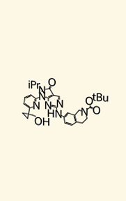 CC(C)n1c(=O)c2cnc(Nc3ccc4c(c3)CN(C(=O)OC(C)(C)C)CC4)nc2n1-c1cccc(C2(CO)CC2)n1